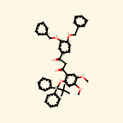 COc1cc(O[Si](c2ccccc2)(c2ccccc2)C(C)(C)C)c(C(=O)CC(=O)c2ccc(OCc3ccccc3)c(OCc3ccccc3)c2)cc1OC